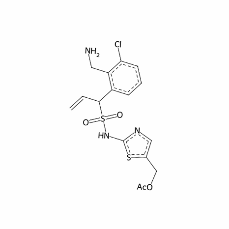 C=CC(c1cccc(Cl)c1CN)S(=O)(=O)Nc1ncc(COC(C)=O)s1